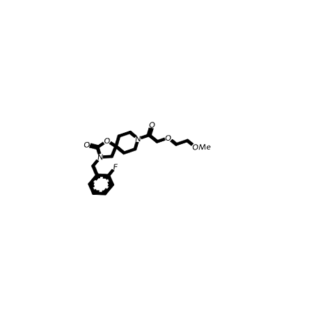 COCCOCC(=O)N1CCC2(CC1)CN(Cc1ccccc1F)C(=O)O2